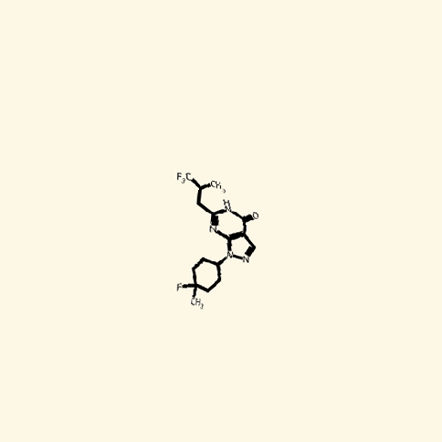 CC(Cc1nc2c(cnn2C2CCC(C)(F)CC2)c(=O)[nH]1)C(F)(F)F